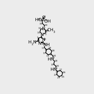 C[C@H]1CN(c2cc(N)nc(NCC3CCC(CNCCCNC4CCCCC4)CC3)n2)CCN1CCP(=O)(O)O